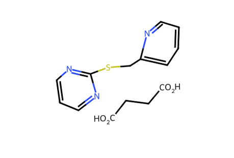 O=C(O)CCC(=O)O.c1ccc(CSc2ncccn2)nc1